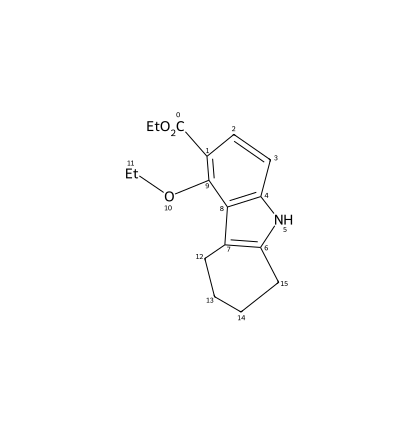 CCOC(=O)c1ccc2[nH]c3c(c2c1OCC)CCCC3